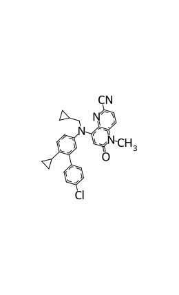 Cn1c(=O)cc(N(CC2CC2)c2ccc(C3CC3)c(-c3ccc(Cl)cc3)c2)c2nc(C#N)ccc21